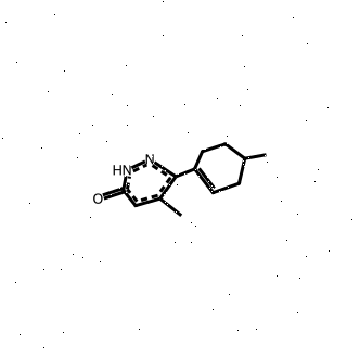 Cc1cc(=O)[nH]nc1C1=CCC(C)CC1